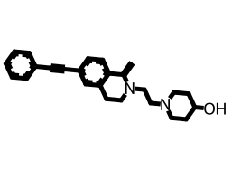 C=C1c2ccc(C#Cc3ccccc3)cc2CCN1CCN1CCC(O)CC1